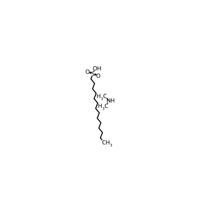 CCCCCCCCCCCCCCS(=O)(=O)O.CNC